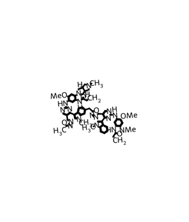 C=CC(=O)Nc1cc(Nc2ncc(-c3nnc(Cc4ccc5c(-c6nc(Nc7cc(NC(=O)C=C)c(N8C[C@H]9CN(C)C[C@H]9C8)cc7OC)ncc6-c6nnc(C)o6)cn(C)c5c4)o3)c(-c3cn(C)c4ccccc34)n2)c(OC)cc1NC